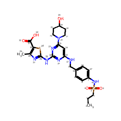 CCCS(=O)(=O)Nc1ccc(CNc2cc(N3CCC(O)CC3)nc(Nc3nc(C)c(C(=O)O)s3)n2)cc1